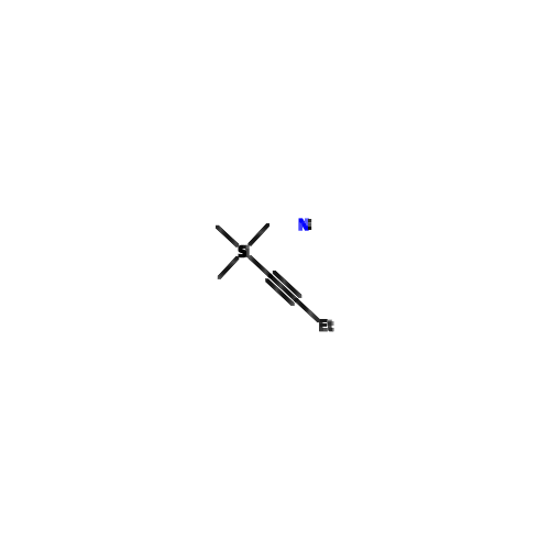 CCC#C[Si](C)(C)C.[N]